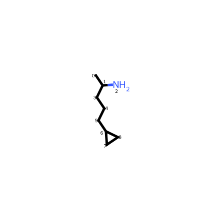 CC(N)CCCC1CC1